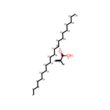 C=C(C)C(=O)O.CCCCCCCCCCCCCCCCCCCCC